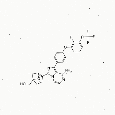 Nc1nccn2c(C3=C4CC(CO)(CC3)O4)nc(-c3ccc(Oc4cccc(OC(F)(F)F)c4F)cc3)c12